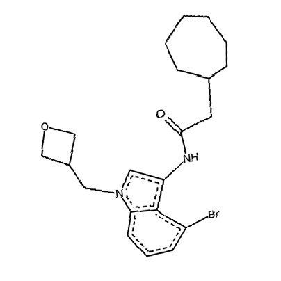 O=C(CC1CCCCCC1)Nc1cn(CC2COC2)c2cccc(Br)c12